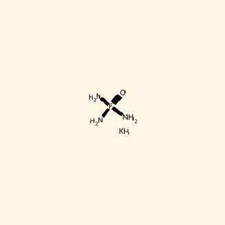 NP(N)(N)=O.[KH]